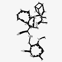 CSc1cc(C)[nH]c(=O)c1CNC(=O)c1c(C)n(C(C)C2C3CC2CN(C(C)=O)C3)c2ccccc12